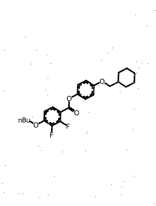 CCCCOc1ccc(C(=O)Oc2ccc(OCC3CC[CH]CC3)cc2)c(F)c1F